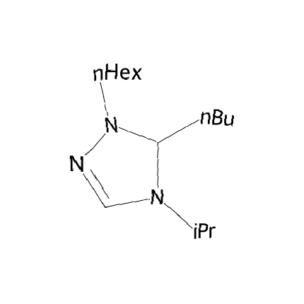 CCCCCCN1N=CN(C(C)C)C1CCCC